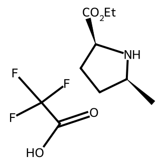 CCOC(=O)[C@@H]1CC[C@H](C)N1.O=C(O)C(F)(F)F